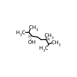 CC(C)[C@H](C)CC[C@H](O)C(C)C